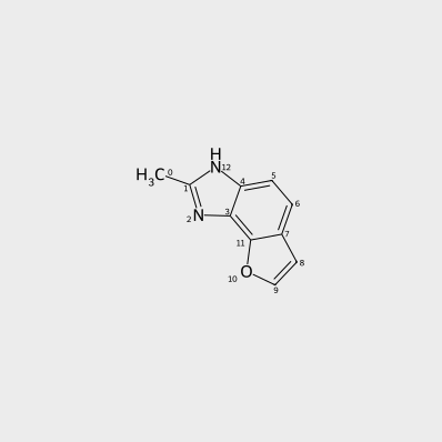 Cc1nc2c(ccc3ccoc32)[nH]1